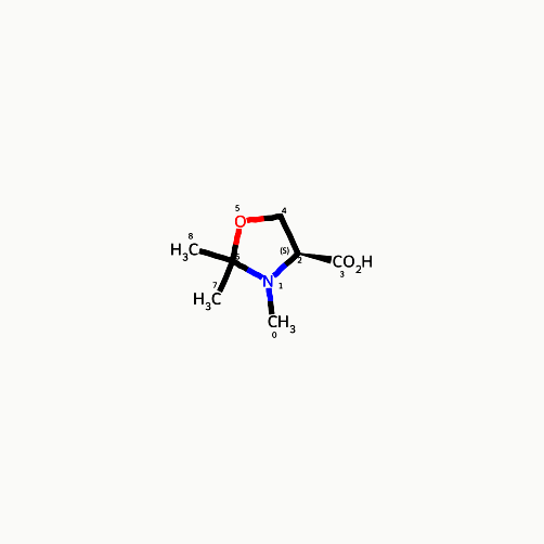 CN1[C@H](C(=O)O)COC1(C)C